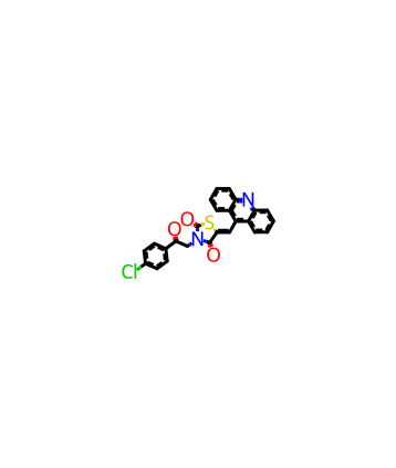 O=C(CN1C(=O)SC(=Cc2c3ccccc3nc3ccccc23)C1=O)c1ccc(Cl)cc1